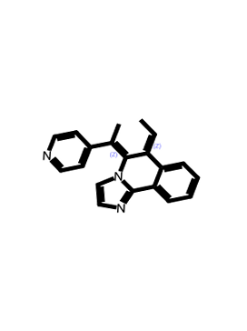 C/C=c1\c(=C(/C)c2ccncc2)n2ccnc2c2ccccc12